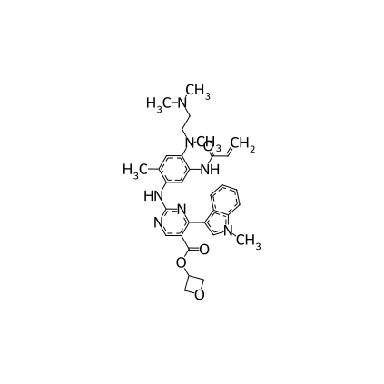 C=CC(=O)Nc1cc(Nc2ncc(C(=O)OC3COC3)c(-c3cn(C)c4ccccc34)n2)c(C)cc1N(C)CCN(C)C